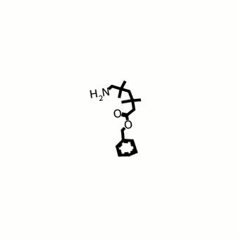 CC(C)(CN)CC(C)(C)CC(=O)OCc1ccccc1